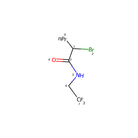 CCCC(Br)C(=O)NCC(F)(F)F